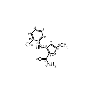 NC(=O)c1sc(C(F)(F)F)cc1Nc1ccccc1Cl